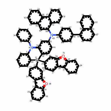 c1ccc(N2c3ccccc3[Si](c3ccc4c(c3)oc3ccccc34)(c3ccc4c(c3)oc3ccccc34)c3ccc(N(c4ccc(-c5cccc6ccccc56)cc4)c4cc5ccccc5c5ccccc45)cc32)cc1